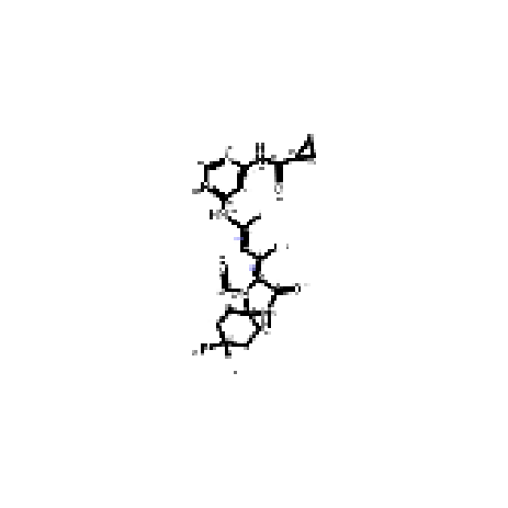 C/C(=C\C(Cl)=C1\C(=O)NC2(CCC(F)(F)CC2)N1C=O)Nc1cc(NC(=O)C2CC2)ncn1